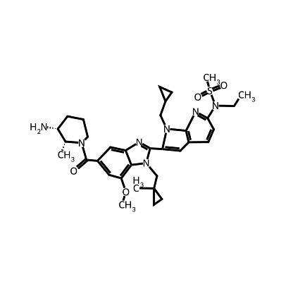 CCN(c1ccc2cc(-c3nc4cc(C(=O)N5CCC[C@@H](N)[C@H]5C)cc(OC)c4n3CC3(C)CC3)n(CC3CC3)c2n1)S(C)(=O)=O